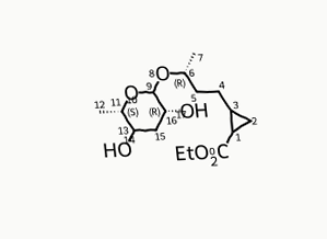 CCOC(=O)C1CC1CC[C@@H](C)OC1O[C@@H](C)C(O)C[C@H]1O